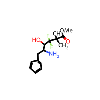 COC(=O)C(C)(C)C(F)(F)C(O)C(N)Cc1ccccc1